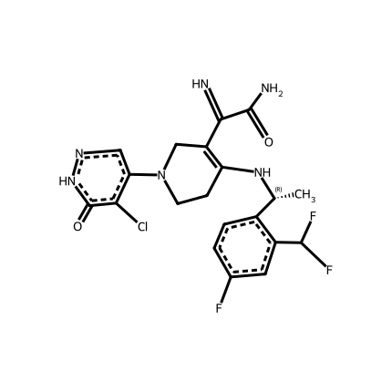 C[C@@H](NC1=C(C(=N)C(N)=O)CN(c2cn[nH]c(=O)c2Cl)CC1)c1ccc(F)cc1C(F)F